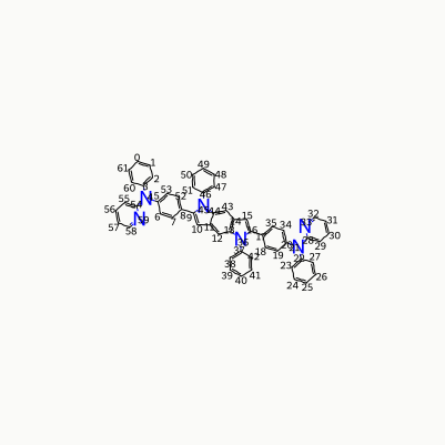 c1ccc(N(c2ccc(-c3cc4cc5c(cc(-c6ccc(N(c7ccccc7)c7ccccn7)cc6)n5-c5ccccc5)cc4n3-c3ccccc3)cc2)c2ccccn2)cc1